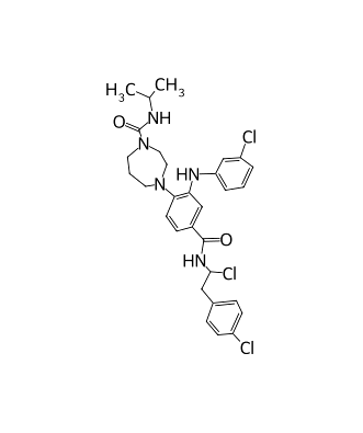 CC(C)NC(=O)N1CCCN(c2ccc(C(=O)NC(Cl)Cc3ccc(Cl)cc3)cc2Nc2cccc(Cl)c2)CC1